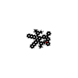 CC(C)(C)c1cc(N2c3cc4cc5ccccc5cc4cc3B3c4cc5cc6ccccc6cc5cc4N(c4cc(C(C)(C)C)cc(C(C)(C)C)c4)c4cc(-c5ccc6c(c5)c5c7c(ccc5n6-c5ccccc5)-c5ccccc5C7(C)C)cc2c43)cc(C(C)(C)C)c1